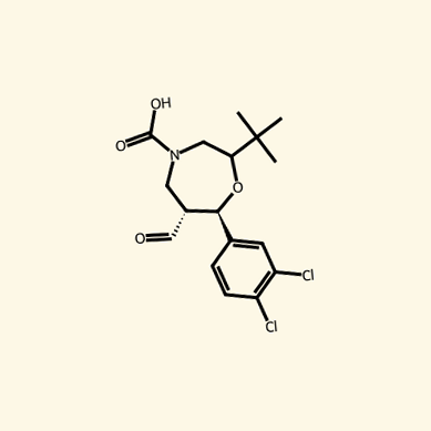 CC(C)(C)C1CN(C(=O)O)C[C@@H](C=O)[C@H](c2ccc(Cl)c(Cl)c2)O1